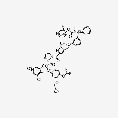 Cn1nc(C(=O)N2CCS[C@H]2C(=O)O[C@@H](Cc2c(Cl)c[n+]([O-])cc2Cl)c2ccc(OC(F)F)c(OCC3CC3)c2)cc1COc1cccc([C@@H](NC(=O)O[C@H]2CN3CCC2CC3)c2ccccc2)c1